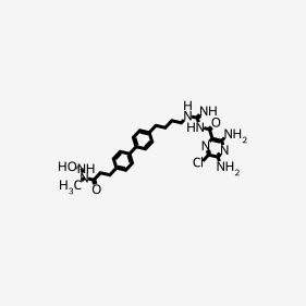 CN(NO)C(=O)CCc1ccc(-c2ccc(CCCCNC(=N)NC(=O)c3nc(Cl)c(N)nc3N)cc2)cc1